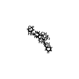 CC1(C)c2cnc(NC3CCOCC3)nc2CN1C(=O)NNCC1CCCCO1